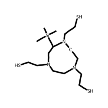 C[Si](C)(C)C1CN(CCS)CCN(CCS)CCN1CCS